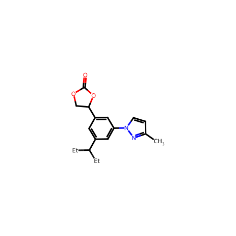 CCC(CC)c1cc(C2COC(=O)O2)cc(-n2ccc(C)n2)c1